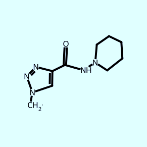 [CH2]n1cc(C(=O)NN2CCCCC2)nn1